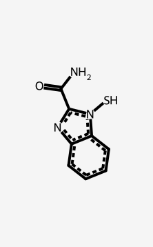 NC(=O)c1nc2ccccc2n1S